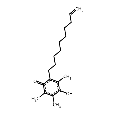 C=CCCCCCCCCc1c(C)n(O)c(C)c(C)c1=O